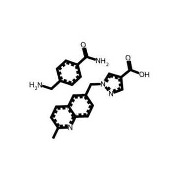 Cc1ccc2cc(Cn3cc(C(=O)O)cn3)ccc2n1.NCc1ccc(C(N)=O)cc1